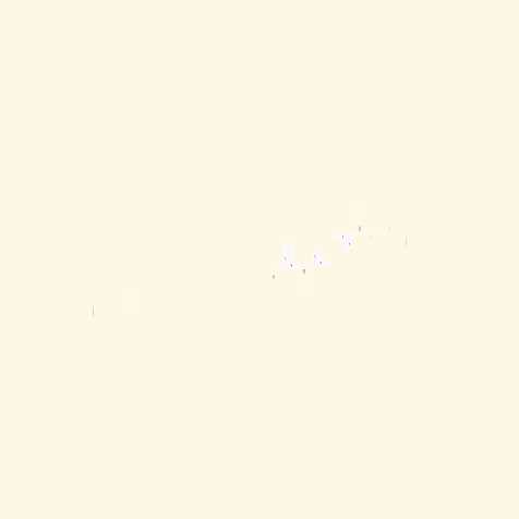 COCCCCCCCc1ccc(NC(=O)N2CCN(C(=O)OC(C)(C)C)CC2)cc1